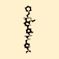 CCNc1nc(-c2ccc(NC(=O)NCc3ccc(N(C)C)nc3)c(F)c2)ccc1C(=O)NCCN1CCCCC1